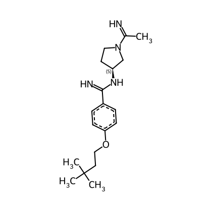 CC(=N)N1CC[C@H](NC(=N)c2ccc(OCCC(C)(C)C)cc2)C1